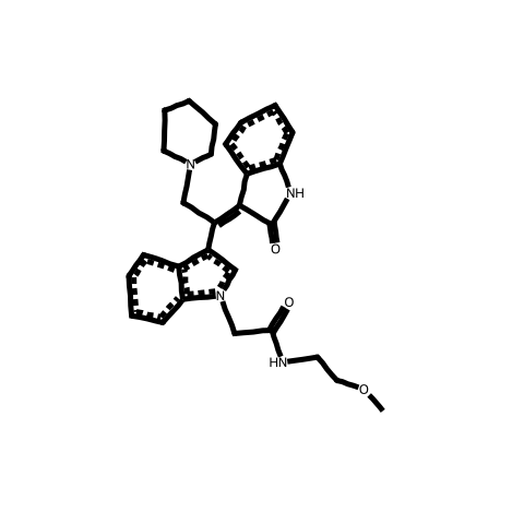 COCCNC(=O)Cn1cc(C(CN2CCCCC2)=C2C(=O)Nc3ccccc32)c2ccccc21